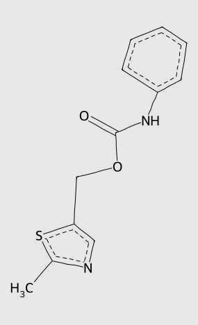 Cc1ncc(COC(=O)Nc2ccccc2)s1